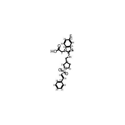 O=C(O)Cn1c(SCC2CCN(S(=O)(=O)C=Cc3ccccc3)C2)nc2cc(F)ccc21